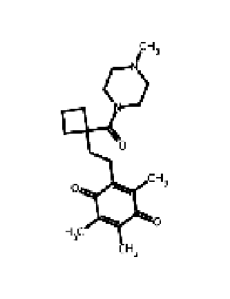 CC1=C(C)C(=O)C(CCC2(C(=O)N3CCN(C)CC3)CCC2)=C(C)C1=O